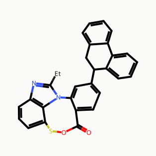 CCc1nc2cccc3soc(=O)c4ccc(C5Cc6ccccc6-c6ccccc65)cc4n1c23